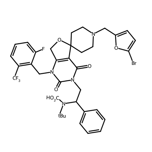 CC(C)(C)N(C(=O)O)C(Cn1c(=O)c2c(n(Cc3c(F)cccc3C(F)(F)F)c1=O)COC21CCN(Cc2ccc(Br)o2)CC1)c1ccccc1